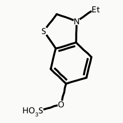 CCN1CSc2cc(OS(=O)(=O)O)ccc21